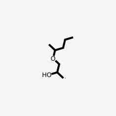 [CH2]C(O)COC(C)CCC